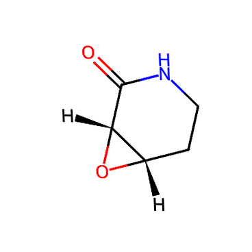 O=C1NCC[C@@H]2O[C@H]12